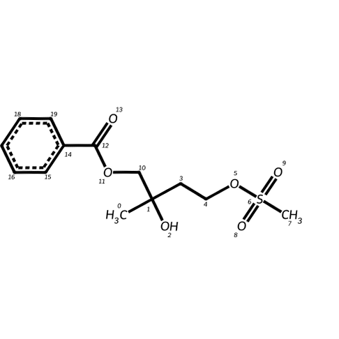 CC(O)(CCOS(C)(=O)=O)COC(=O)c1ccccc1